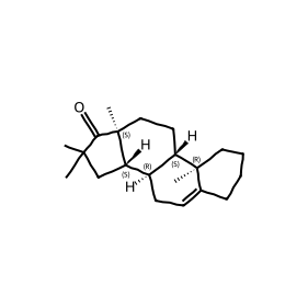 CC1(C)C[C@H]2[C@@H]3CC=C4CCCC[C@]4(C)[C@H]3CC[C@]2(C)C1=O